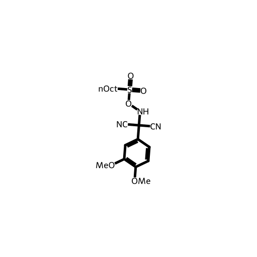 CCCCCCCCS(=O)(=O)ONC(C#N)(C#N)c1ccc(OC)c(OC)c1